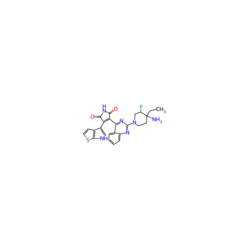 CCC1(N)CCN(c2nc(C3=C(c4c[nH]c5sccc45)C(=O)NC3=O)c3ccccc3n2)CC1F